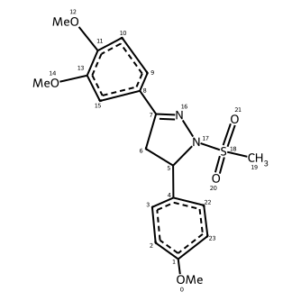 COc1ccc(C2CC(c3ccc(OC)c(OC)c3)=NN2S(C)(=O)=O)cc1